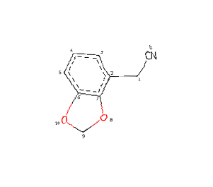 N#CCc1cccc2c1OCO2